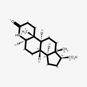 C[C@]12CCC(=O)N[C@@H]1CC[C@@H]1[C@@H]2CC[C@]2(C)[C@@H](C(=O)O)CC[C@@H]12